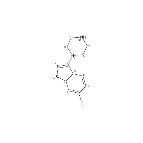 FC1=CC2SN=C(N3CCNCC3)C2C=C1